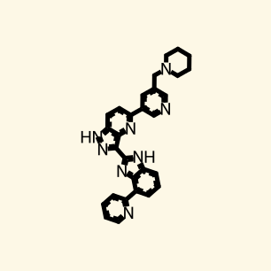 c1ccc(-c2cccc3[nH]c(-c4n[nH]c5ccc(-c6cncc(CN7CCCCC7)c6)nc45)nc23)nc1